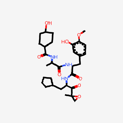 COc1ccc(CC(NC(=O)C(C)NC(=O)C2CCC(O)CC2)C(=O)NC(CC2CCCC2)C(=O)C2(C)CO2)cc1O